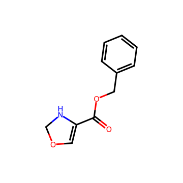 O=C(OCc1ccccc1)C1=COCN1